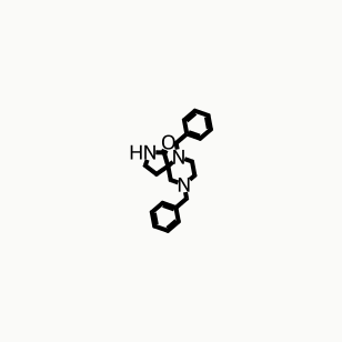 O=C1NCCC12CN(Cc1ccccc1)CCN2Cc1ccccc1